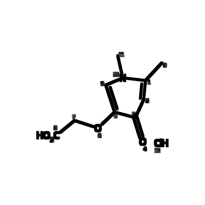 Cc1cc(=O)c(OCC(=O)O)cn1C.Cl